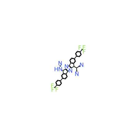 N#CNC1c2cc(-c3ccc(C(F)(F)F)cc3)ccc2-c2nc3c(nc21)-c1ccc(-c2ccc(C(F)(F)F)cc2)cc1C3C(C#N)C#N